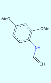 [CH]=CNc1ccc(OC)cc1OC